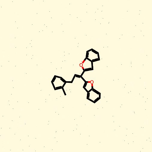 Cc1ccccc1CC=C(c1cc2ccccc2o1)c1cc2ccccc2o1